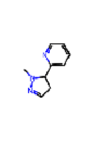 CN1N=CCC1c1ccccn1